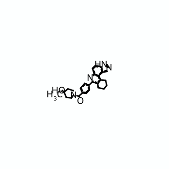 CC1(O)CCN(C(=O)c2ccc(-c3nc4ccc5[nH]ncc5c4c4c3CCCC4)cc2)CC1